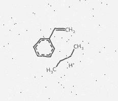 C=Cc1ccccc1.CCCC.[H+]